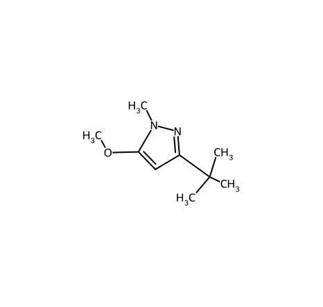 COc1cc(C(C)(C)C)nn1C